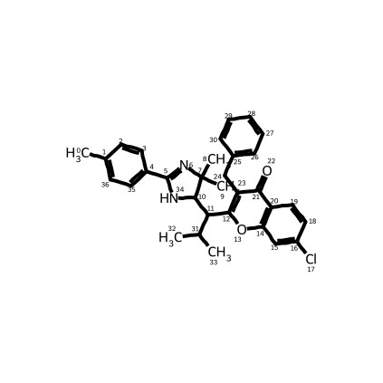 Cc1ccc(C2=NC(C)(C)C(C(c3oc4cc(Cl)ccc4c(=O)c3Cc3ccccc3)C(C)C)N2)cc1